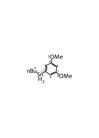 CCC[CH2][SnH2][c]1cc(OC)cc(OC)c1